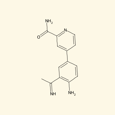 CC(=N)c1cc(-c2ccnc(C(N)=O)c2)ccc1N